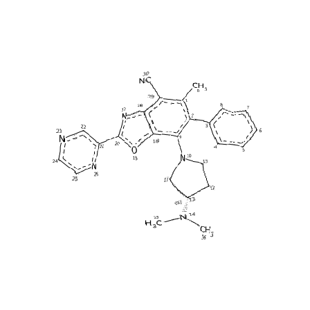 Cc1c(-c2ccccc2)c(N2CC[C@H](N(C)C)C2)c2oc(-c3cnccn3)nc2c1C#N